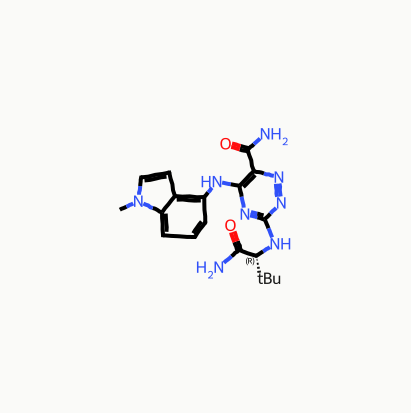 Cn1ccc2c(Nc3nc(N[C@@H](C(N)=O)C(C)(C)C)nnc3C(N)=O)cccc21